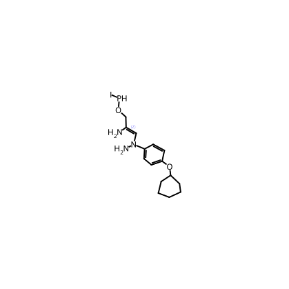 N/C(=C\N(N)c1ccc(OC2CCCCC2)cc1)COPI